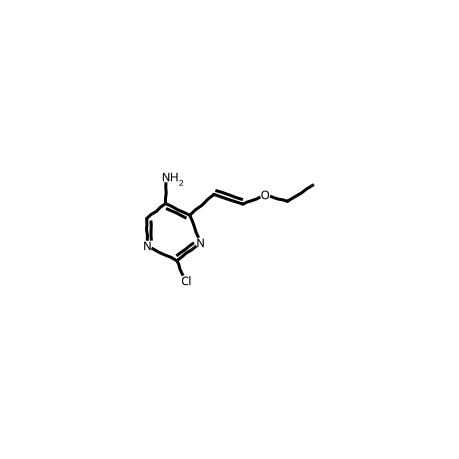 CCOC=Cc1nc(Cl)ncc1N